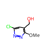 COc1nnc(Cl)cc1CO